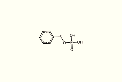 O=P(O)(O)OSc1ccccc1